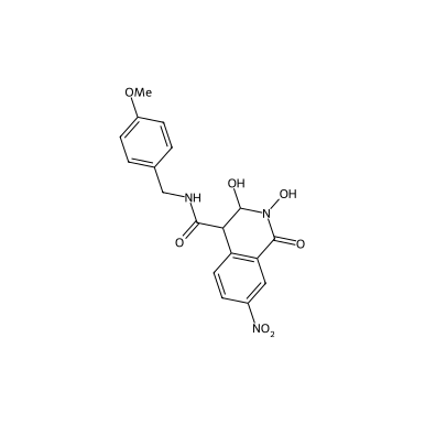 COc1ccc(CNC(=O)C2c3ccc([N+](=O)[O-])cc3C(=O)N(O)C2O)cc1